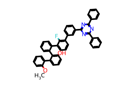 COc1ccccc1-c1ccccc1-c1ccccc1-c1c(O)ccc(-c2cccc(-c3nc(-c4ccccc4)nc(-c4ccccc4)n3)c2)c1F